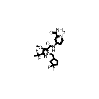 COc1c(C(C)(F)F)nn(CC2CCC(F)(F)C2)c1C(=O)Nc1ccnc(C(N)=O)c1